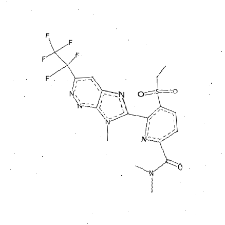 CCS(=O)(=O)c1ccc(C(=O)N(C)C)nc1-c1nc2cc(C(F)(F)C(F)(F)F)nnc2n1C